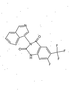 O=c1[nH]c2cc(F)c(C(F)(F)F)cc2c(=O)n1-c1cncc2ccccc12